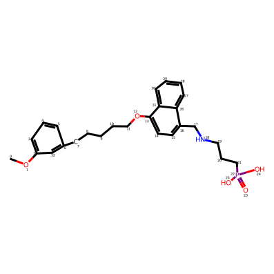 COc1cccc(CCCCCOc2ccc(CNCCCP(=O)(O)O)c3ccccc23)c1